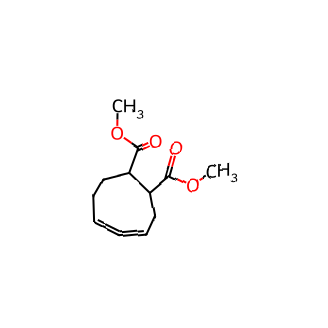 COC(=O)C1CC=C=CCCC1C(=O)OC